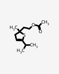 CC(=O)OCCC1(C)CC=C(C(C)C)S1